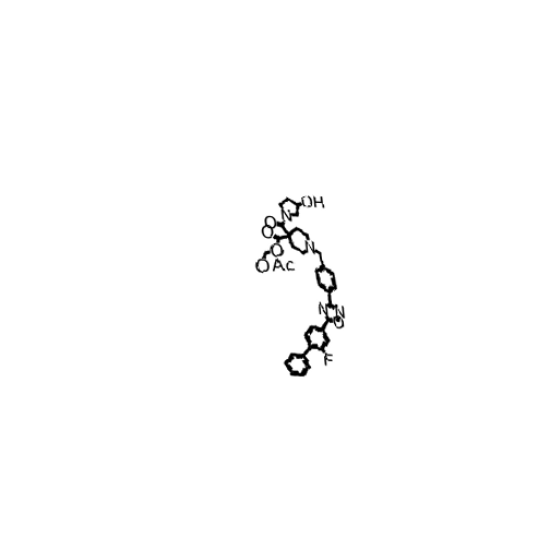 CC(=O)OCOC(=O)C1(C(=O)N2CCC(O)C2)CCN(Cc2ccc(-c3noc(-c4ccc(-c5ccccc5)c(F)c4)n3)cc2)CC1